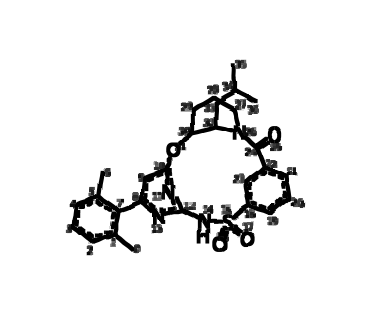 Cc1cccc(C)c1-c1cc2nc(n1)NS(=O)(=O)c1cccc(c1)C(=O)N1CCCC(O2)C1CC(C)C